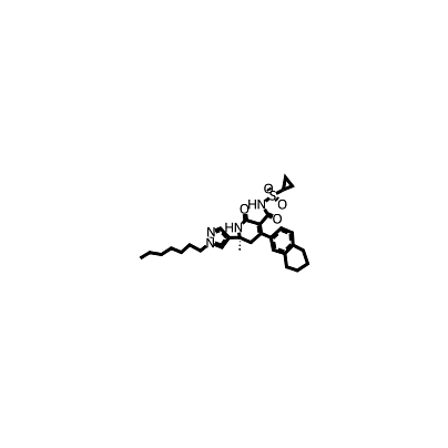 CCCCCCCn1cc([C@]2(C)CC(c3ccc4c(c3)CCCC4)=C(C(=O)NS(=O)(=O)C3CC3)C(=O)N2)cn1